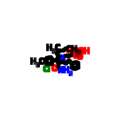 CCCC(C)Cc1c(-c2ccc(C)c(Cl)c2)c(C(N)=O)c(CCc2ccccc2)n1CCCOP(=O)(O)O